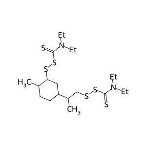 CCN(CC)C(=S)SSCC(C)C1CCC(C)C(SSC(=S)N(CC)CC)C1